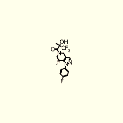 C[C@@H]1CN(C(=O)C(C)(O)C(F)(F)F)Cc2cnn(-c3ccc(F)cc3)c21